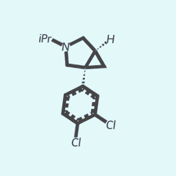 CC(C)N1C[C@H]2C[C@@]2(c2ccc(Cl)c(Cl)c2)C1